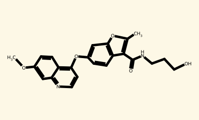 COc1ccc2c(Oc3ccc4c(C(=O)NCCCO)c(C)oc4c3)ccnc2c1